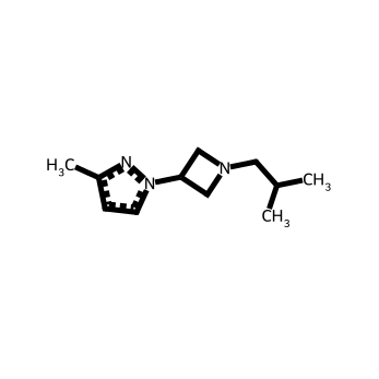 Cc1ccn(C2CN(CC(C)C)C2)n1